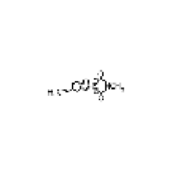 C/C=C/c1ccc2oc(B3OC(=O)CN(C)CC(=O)O3)cc2c1